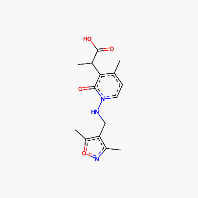 Cc1ccn(NCc2c(C)noc2C)c(=O)c1C(C)C(=O)O